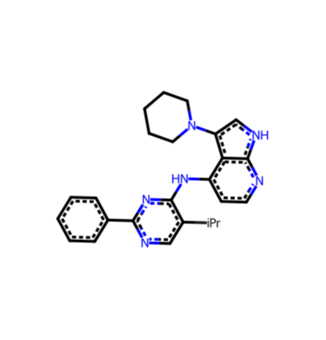 CC(C)c1cnc(-c2ccccc2)nc1Nc1ccnc2[nH]cc(N3CCCCC3)c12